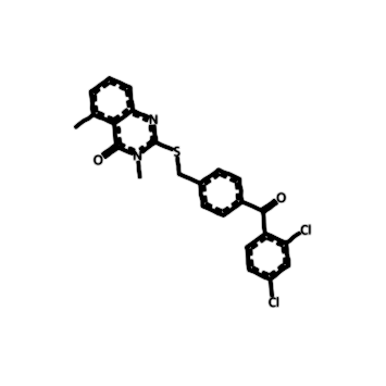 Cc1cccc2nc(SCc3ccc(C(=O)c4ccc(Cl)cc4Cl)cc3)n(C)c(=O)c12